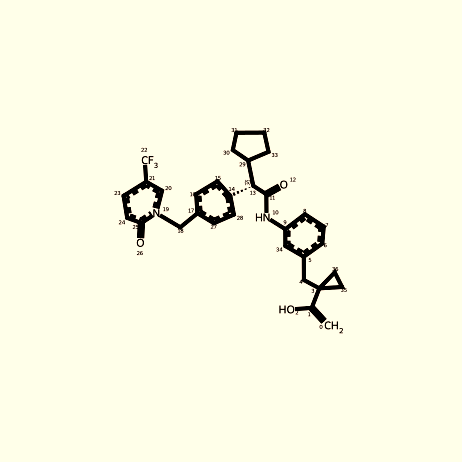 C=C(O)C1(Cc2cccc(NC(=O)[C@H](c3ccc(Cn4cc(C(F)(F)F)ccc4=O)cc3)C3CCCC3)c2)CC1